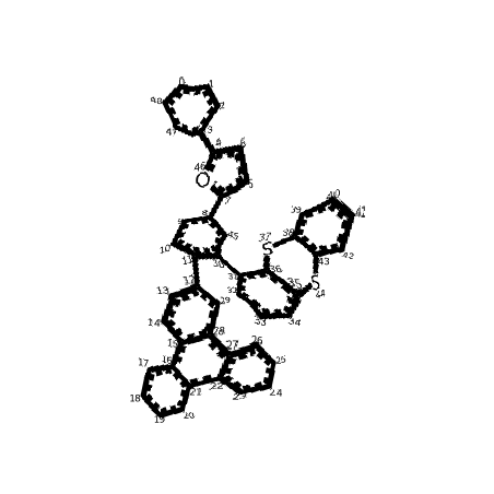 c1ccc(-c2ccc(-c3ccc(-c4ccc5c6ccccc6c6ccccc6c5c4)c(-c4cccc5c4Sc4ccccc4S5)c3)o2)cc1